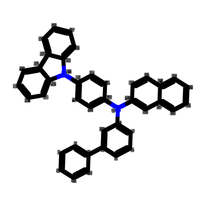 c1ccc(-c2cccc(N(c3ccc(-n4c5ccccc5c5ccccc54)cc3)c3ccc4ccccc4c3)c2)cc1